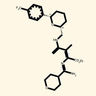 C=C(NC[C@H]1CCC[C@@H](c2ccc(C(F)(F)F)cc2)O1)/C(C)=C(\N=C(/N)C1CCOCC1)C(=O)OCC